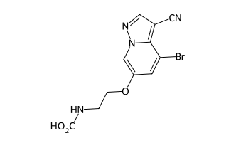 N#Cc1cnn2cc(OCCNC(=O)O)cc(Br)c12